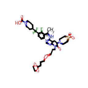 C[C@@H](Nc1ncnc2c1cc(N1CCS(=O)(=O)CC1)c(=O)n2CCCOCCCC1OCCO1)c1cccc(C(F)(F)C2CCN(C(=O)O)CC2)c1F